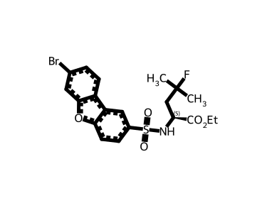 CCOC(=O)[C@H](CC(C)(C)F)NS(=O)(=O)c1ccc2oc3cc(Br)ccc3c2c1